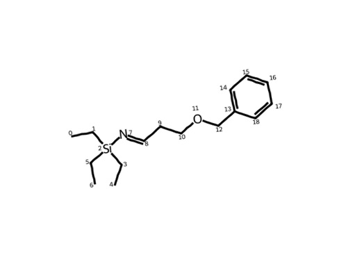 CC[Si](CC)(CC)N=CCCOCc1ccccc1